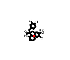 O.O=C1Nc2ccccc2C1(Cc1ccc(Cl)c(Cl)c1)Cc1ccc(Cl)c(Cl)c1